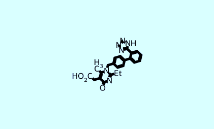 CCc1nc(=O)c(CC(=O)O)c(C)n1Cc1ccc(-c2ccccc2-c2nnn[nH]2)cc1